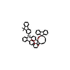 C=C1/C=C\C=C/CC2(c3ccccc3-c3ccccc32)c2ccccc2C12c1ccccc1-c1cc(N(c3ccc4c(c3)C(C)(C)c3ccccc3-4)c3ccccc3-c3ccccc3)ccc12